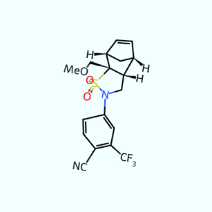 COC[C@@]12[C@@H]3C=C[C@@H](C3)[C@@H]1CN(c1ccc(C#N)c(C(F)(F)F)c1)S2(=O)=O